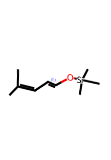 CC(C)=C/C=C/O[Si](C)(C)C